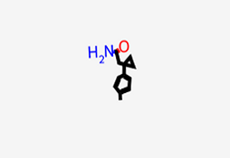 Cc1ccc(C2(CC(N)=O)CC2)cc1